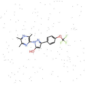 Cc1nc(C)c(-n2nc(-c3ccc(OC(F)(F)F)cc3)cc2O)nc1C